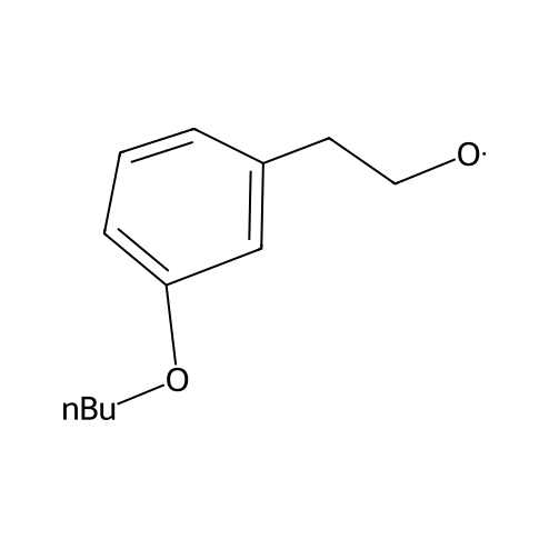 CCCCOc1cccc(CC[O])c1